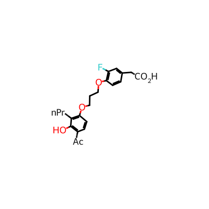 CCCc1c(OCCCOc2ccc(CC(=O)O)cc2F)ccc(C(C)=O)c1O